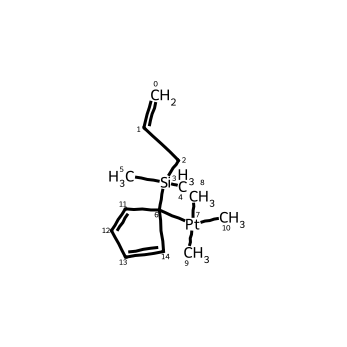 C=CC[Si](C)(C)[C]1([Pt]([CH3])([CH3])[CH3])C=CC=C1